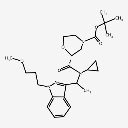 COCCCn1nc(C(C)N(C(=O)[C@H]2CN(C(=O)OC(C)(C)C)CCO2)C2CC2)c2ccccc21